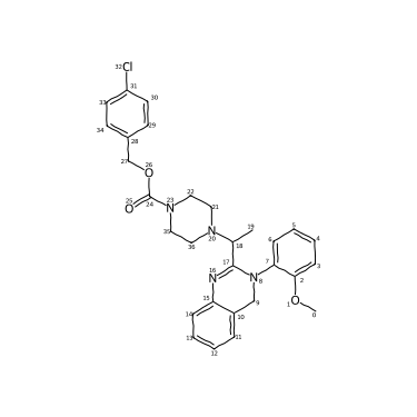 COc1ccccc1N1Cc2ccccc2N=C1C(C)N1CCN(C(=O)OCc2ccc(Cl)cc2)CC1